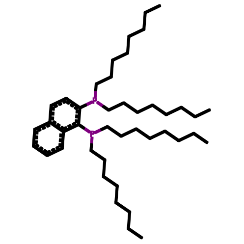 CCCCCCCCP(CCCCCCCC)c1ccc2ccccc2c1P(CCCCCCCC)CCCCCCCC